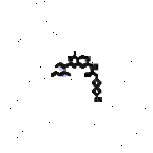 C=C/C=C(C)\C(=C/C)c1cc2cc(NC(=O)C=C3CC4(C3)CC(C#N)C4)ncc2c(C)n1